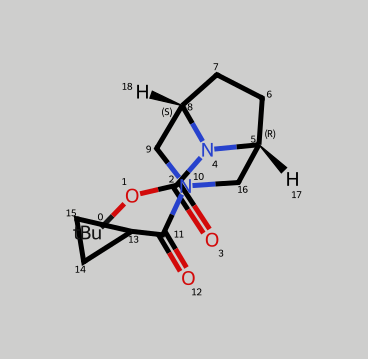 CC(C)(C)OC(=O)N1[C@@H]2CC[C@H]1CN(C(=O)C1CC1)C2